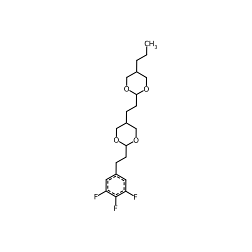 CCCC1COC(CCC2COC(CCc3cc(F)c(F)c(F)c3)OC2)OC1